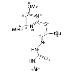 CCCNC(=O)NN=CC(Sc1nc(OC)cc(OC)n1)C(C)(C)C